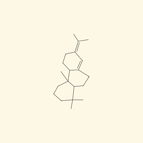 CC(C)=C1C=C2CCC3C(C)(C)CCCC3(C)C2CC1